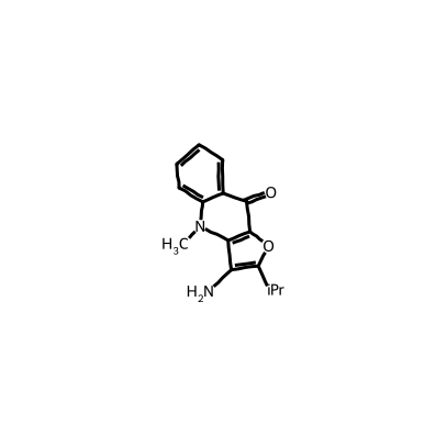 CC(C)c1oc2c(=O)c3ccccc3n(C)c2c1N